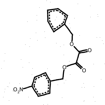 O=C(OCc1ccccc1)C(=O)OCc1ccc([N+](=O)[O-])cc1